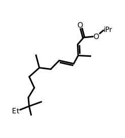 CCC(C)(C)CCCC(C)CC=CC(C)=CC(=O)OC(C)C